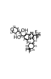 Cc1cc(C(O)C(O)C2CCOCC2)cc2nc(C(F)(F)F)c(CC3CCC(F)(F)CC3)n12